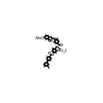 COc1ccc(CC(=O)Nc2ccc(C(=O)N(CC(=O)O)Cc3ccc(OC(=O)c4ccc(-c5cccc(C)c5)cc4)cc3)cc2)c(C(F)(F)F)c1